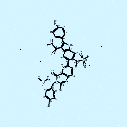 CNC(=O)c1c(-c2ccc(F)cc2)oc2cc(N(C)S(C)(=O)=O)c(-c3ccc4nc(C)n([C@@H](COC)c5ccc(C)cc5)c(=O)c4n3)cc12